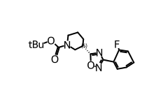 CC(C)(C)OC(=O)N1CCC[C@H](c2nc(-c3ccccc3F)no2)C1